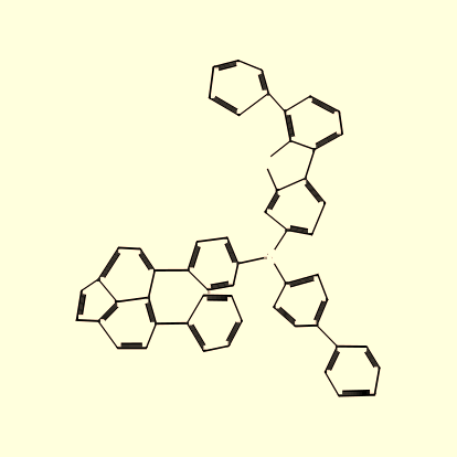 C1=Cc2ccc(-c3ccc(N(c4ccc(-c5ccccc5)cc4)c4ccc5c(c4)oc4c(-c6ccccc6)cccc45)cc3)c3c(-c4ccccc4)ccc1c23